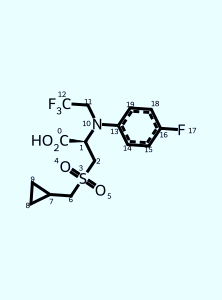 O=C(O)[C@H](CS(=O)(=O)CC1CC1)N(CC(F)(F)F)c1ccc(F)cc1